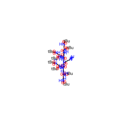 CC(C)(C)OC(=O)NCCCC[C@H](NC(=O)OC(C)(C)C)C(=O)NCCCC[C@H](NC(=O)[C@H](CCCCNC(=O)OC(C)(C)C)NC(=O)OC(C)(C)C)C(=O)NCCN(CCNC(=O)[C@H](CCCCNC(=O)[C@H](CCCCNC(=O)OC(C)(C)C)NC(=O)OC(C)(C)C)NC(=O)[C@H](CCCCNC(=O)OC(C)(C)C)NC(=O)OC(C)(C)C)C(=O)CCCCCN=[N+]=[N-]